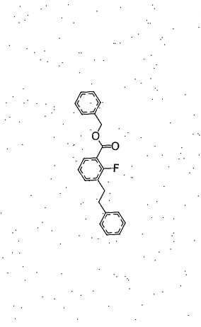 O=C(OCc1ccccc1)c1cccc(CCc2ccccc2)c1F